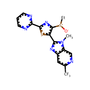 CC[S+]([O-])c1nc(-c2ncccn2)sc1-c1nc2cc(C(F)(F)F)ncc2n1C